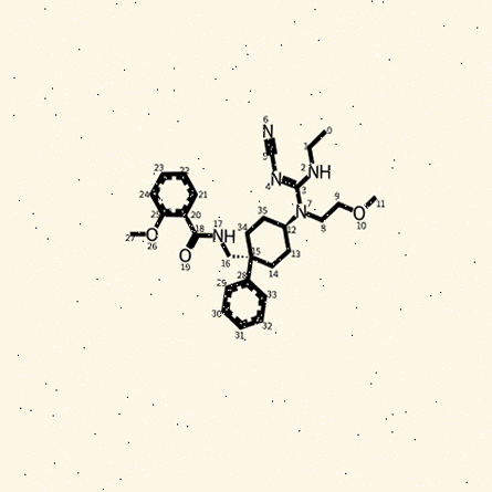 CCNC(=NC#N)N(CCOC)[C@H]1CC[C@@](CNC(=O)c2ccccc2OC)(c2ccccc2)CC1